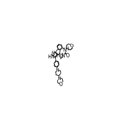 NC(=O)N(c1cccc2c1C(=O)c1c-2n[nH]c1-c1ccc(N2CCC(N3CCOCC3)CC2)cc1)N1CCOCC1